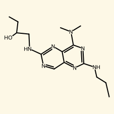 CCCNc1nc(N(C)C)c2nc(NCC(O)CC)ncc2n1